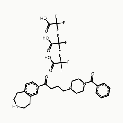 O=C(CCCN1CCN(C(=O)c2ccccc2)CC1)c1ccc2c(c1)CCNCC2.O=C(O)C(F)(F)F.O=C(O)C(F)(F)F.O=C(O)C(F)(F)F